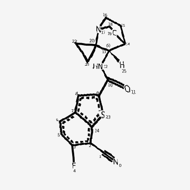 N#Cc1c(F)ccc2cc(C(=O)N[C@H]3C4CCN(CC4)C34CC4)sc12